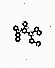 CC1(n2c3ccccc3c3cc4ccccc4cc32)CC=C(c2nc(-c3cccc(-c4ccccc4)c3)nc(-c3cccc4ccccc34)n2)c2oc3ccccc3c21